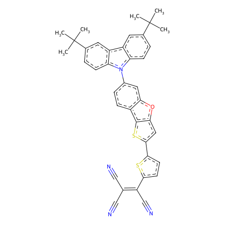 CC(C)(C)c1ccc2c(c1)c1cc(C(C)(C)C)ccc1n2-c1ccc2c(c1)oc1cc(-c3ccc(C(C#N)=C(C#N)C#N)s3)sc12